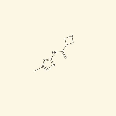 O=C(Nc1ncc(F)s1)C1COC1